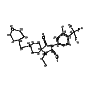 CCN1C(=O)N(c2ccc(C(F)(F)F)c(C)c2)C(=O)C12CCN(CC1CCOCC1)CC2